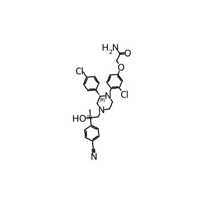 C[C@@](O)(CN1CCN(c2ccc(OCC(N)=O)cc2Cl)[C@H](c2ccc(Cl)cc2)C1)c1ccc(C#N)cc1